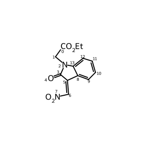 CCOC(=O)CN1C(=O)C(=C[N+](=O)[O-])c2ccccc21